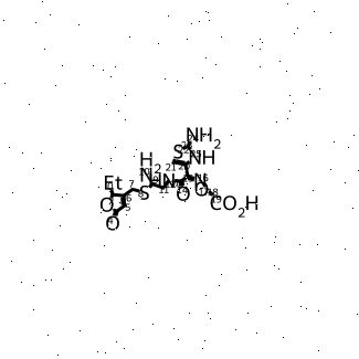 CCC1OC(=O)C=C1CSC(N)CNC(=O)/C(=N\OCC(=O)O)C1=CSC(N)N1